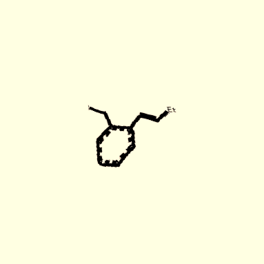 [CH2]C/C=C/c1ccccc1CI